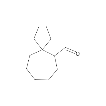 CCC1(CC)CCCCCC1C=O